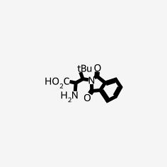 CC(C)(C)C(C(N)C(=O)O)N1C(=O)c2ccccc2C1=O